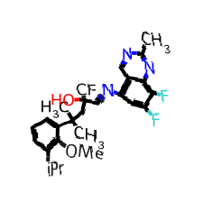 COc1c(C(C)C)cccc1C(C)(C)CC(O)(C=Nc1cc(F)c(F)c2nc(C)ncc12)C(F)(F)F